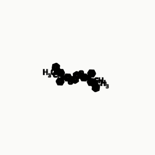 CC1(C)C2=C(C=CCC2)c2ccc(N(C3=CCCC=C3)C3=Cc4oc5c(c4CC3)=C3C=Cc4oc6cc(N(C7=CCCC=C7)c7ccc8c(c7)C(C)(C)c7ccccc7-8)ccc6c4C3CC=5)cc21